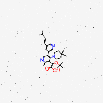 Cc1ncc(-c2cncc(/C=C/C(C)C)c2)c(N2CCC(C)(C)CC2)c1C(OC(C)(C)C)C(=O)O